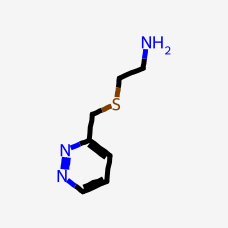 NCCSCc1cccnn1